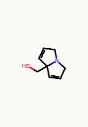 OCC12C=CCN1CC=C2